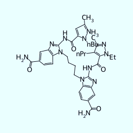 CCCCn1nc(C)cc1C(=O)Nc1nc2cc(C(N)=O)ccc2n1CCCCn1c(NC(=O)c2c(CCC)c(C)nn2CC)nc2cc(C(N)=O)ccc21